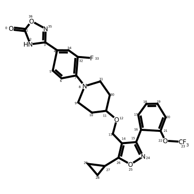 O=c1[nH]c(-c2ccc(N3CCC(OCc4c(-c5ccccc5OC(F)(F)F)noc4C4CC4)CC3)c(F)c2)no1